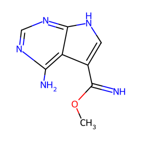 COC(=N)c1c[nH]c2ncnc(N)c12